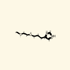 COCCOCCCc1c[nH]cn1